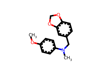 COc1ccc(N(C)Cc2ccc3c(c2)OCO3)cc1